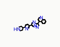 c1ccc2c(-c3cnn4cc(-c5ccc(C6CCNCC6)nc5)cnc34)ccnc2c1